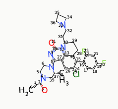 C=CC(=O)N1CCN(c2nc(=O)n3c4c(c(-c5ccc(F)cc5F)c(Cl)cc24)CCC3CCN2CCC2)[C@@H](C)C1